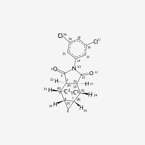 O=C1[C@@H]2[C@@H]3CC[C@@H]([C@@H]4C[C@@H]43)[C@@H]2C(=O)N1c1cc(Cl)cc(Cl)c1